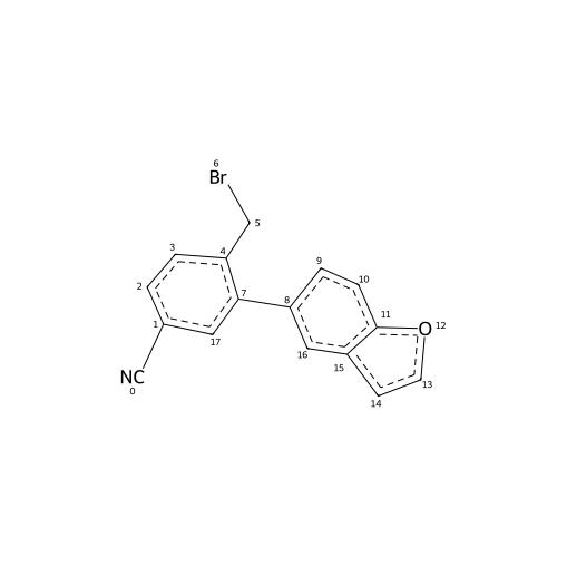 N#Cc1ccc(CBr)c(-c2ccc3occc3c2)c1